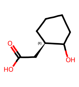 O=C(O)C[C@H]1CCCCC1O